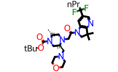 CCCC(F)(F)c1cnc2c(c1)N(C(=O)CN1C[C@@H](C)N(C(=O)OC(C)(C)C)C[C@@H]1CN1CCOCC1)CC2(C)C